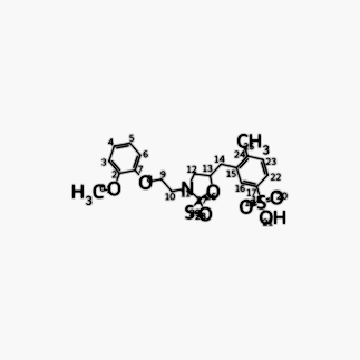 COc1ccccc1OCCN1CC(Cc2cc(S(=O)(=O)O)ccc2C)O[C@]12OS2